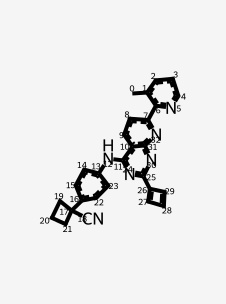 Cc1cccnc1-c1ccc2c(Nc3ccc(C4(C#N)CCC4)cc3)nc(C3=CC=C3)nc2n1